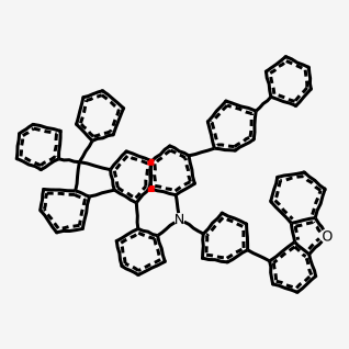 c1ccc(-c2ccc(-c3cccc(N(c4ccc(-c5cccc6oc7ccccc7c56)cc4)c4ccccc4-c4cccc5c4-c4ccccc4C5(c4ccccc4)c4ccccc4)c3)cc2)cc1